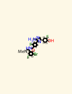 CNCC(NC(=O)c1ccc(-c2nc([C@H]3CC[C@@H](O)[C@@H](F)C3)cnc2N)cc1F)c1cc(F)cc(Br)c1